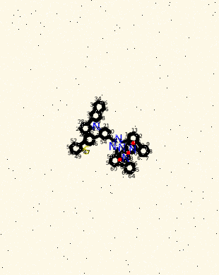 c1ccc(-n2c3ccccc3c3cccc(-c4nc(-c5ccc(-n6c7ccccc7c7cc8ccccc8cc76)c(-c6ccc7c(c6)sc6ccccc67)c5)nc(-c5cccc6c7ccccc7n(-c7ccccc7)c56)n4)c32)cc1